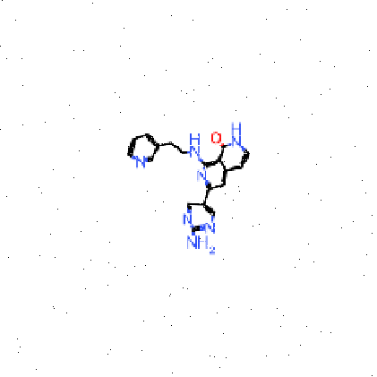 Nc1ncc(-c2cc3cc[nH]c(=O)c3c(NCCc3cccnc3)n2)cn1